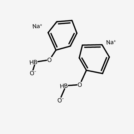 [Na+].[Na+].[O-]BOc1ccccc1.[O-]BOc1ccccc1